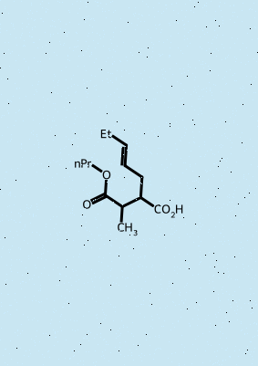 CCC=CCC(C(=O)O)C(C)C(=O)OCCC